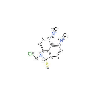 [C-]#[N+]c1ccc2c3c(ccc([N+]#[C-])c13)N(CCl)C2=S